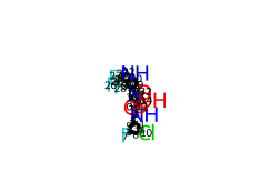 O=C(NCc1cc(F)cc(Cl)c1)O[C@@]1(O)CCN(c2ccc3[nH]cc(C(F)(F)F)c3c2)C1=O